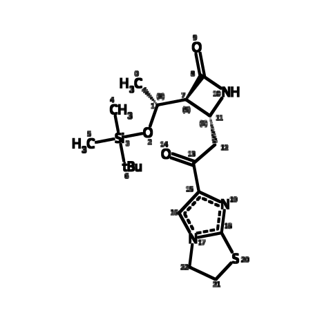 C[C@@H](O[Si](C)(C)C(C)(C)C)[C@H]1C(=O)N[C@@H]1CC(=O)c1cn2c(n1)SCC2